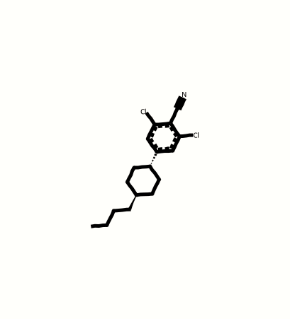 CCCC[C@H]1CC[C@H](c2cc(Cl)c(C#N)c(Cl)c2)CC1